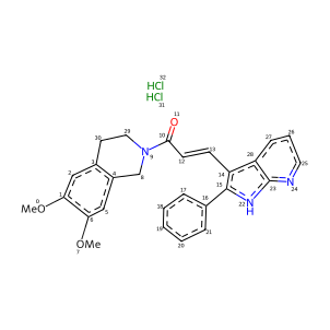 COc1cc2c(cc1OC)CN(C(=O)C=Cc1c(-c3ccccc3)[nH]c3ncccc13)CC2.Cl.Cl